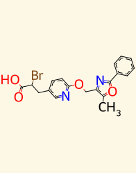 Cc1oc(-c2ccccc2)nc1COc1ccc(CC(Br)C(=O)O)cn1